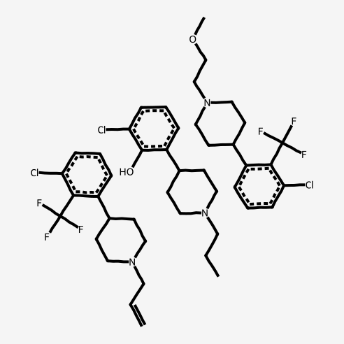 C=CCN1CCC(c2cccc(Cl)c2C(F)(F)F)CC1.CCCN1CCC(c2cccc(Cl)c2O)CC1.COCCN1CCC(c2cccc(Cl)c2C(F)(F)F)CC1